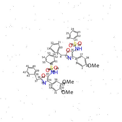 COc1ccc(-c2nc(Cc3ccccc3)oc2NS(=O)(=O)c2ccccc2)cc1.COc1ccc(-c2nc(Cc3ccccc3)oc2NS(=O)(=O)c2ccccc2)cc1OC